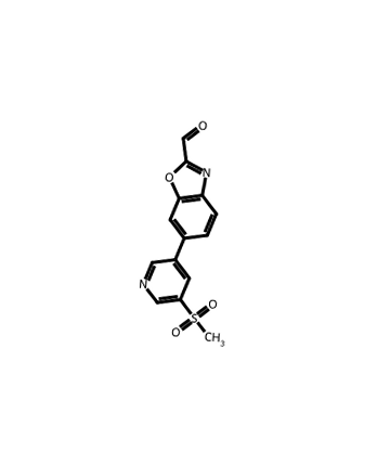 CS(=O)(=O)c1cncc(-c2ccc3nc(C=O)oc3c2)c1